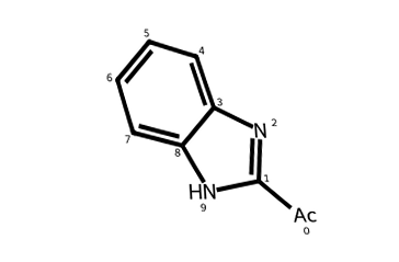 CC(=O)c1nc2ccccc2[nH]1